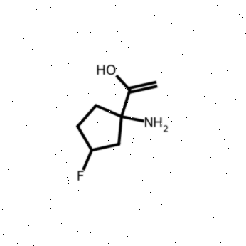 C=C(O)C1(N)CCC(F)C1